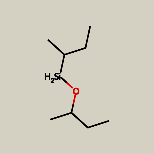 CCC(C)O[SiH2]C(C)CC